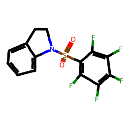 O=S(=O)(c1c(F)c(F)c(F)c(F)c1F)N1CCc2ccccc21